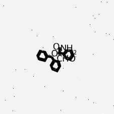 NC(=O)C(C=O)(OC(c1ccccc1)c1ccccc1)c1ccccc1